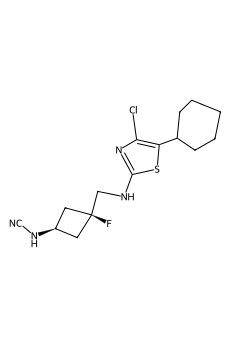 N#CN[C@H]1C[C@](F)(CNc2nc(Cl)c(C3CCCCC3)s2)C1